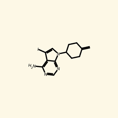 C=C1CCC(n2cc(I)c3c(N)ncnc32)CC1